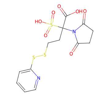 O=C1CCC(=O)N1C(CCSSc1ccccn1)(C(=O)O)S(=O)(=O)O